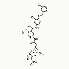 Cn1cnc([N+](=O)[O-])c1C[N+](C)(C)C/C=C/C(=O)Nc1cc2c(Nc3ccc(OCc4cccc(Cl)c4)c(Cl)c3)ncnc2cn1.[Br-]